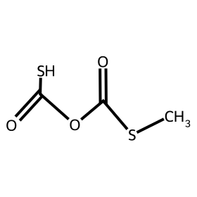 CSC(=O)OC(=O)S